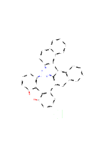 Clc1cc2oc3cccc4c3c2c(c1)c1cc2ccccc2c2c3c5ccccc5ccc3n4c12